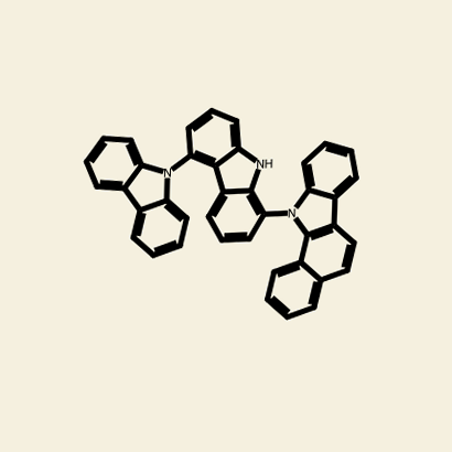 c1ccc2c(c1)ccc1c3ccccc3n(-c3cccc4c3[nH]c3cccc(-n5c6ccccc6c6ccccc65)c34)c21